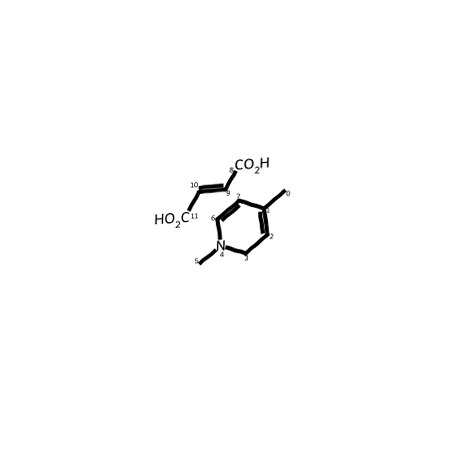 CC1=CCN(C)C=C1.O=C(O)C=CC(=O)O